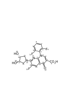 O=C(O)c1cn(-c2c(F)cccc2F)c2nc(N3C[C@@H](O)[C@H](O)C3)c(F)cc2c1=O